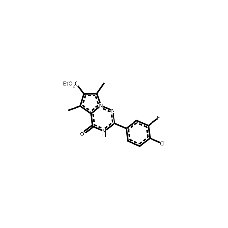 CCOC(=O)c1c(C)c2c(=O)[nH]c(-c3ccc(Cl)c(F)c3)nn2c1C